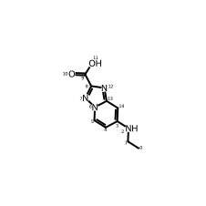 CCNc1ccn2nc(C(=O)O)nc2c1